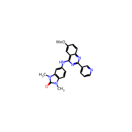 COc1ccc2nc(-c3cccnc3)nc(Nc3ccc4c(c3)n(C)c(=O)n4C)c2c1